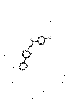 O=C(C=Cc1ccc(-c2ccccc2)cc1)c1ccc(Cl)cc1